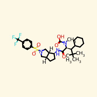 CN(C(=O)O)[C@H](C(=O)N[C@H]1CC[C@@H]2CN(S(=O)(=O)c3ccc(C(F)(F)F)cc3)C[C@@H]21)C(C1CCCCC1)C(C)(C)C